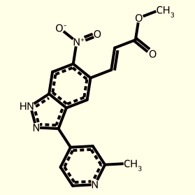 COC(=O)/C=C/c1cc2c(-c3ccnc(C)c3)n[nH]c2cc1[N+](=O)[O-]